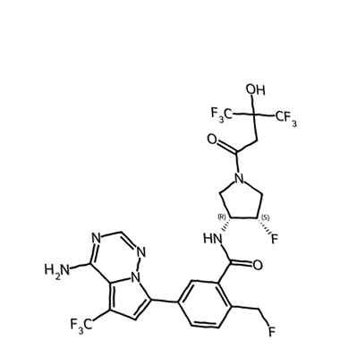 Nc1ncnn2c(-c3ccc(CF)c(C(=O)N[C@@H]4CN(C(=O)CC(O)(C(F)(F)F)C(F)(F)F)C[C@@H]4F)c3)cc(C(F)(F)F)c12